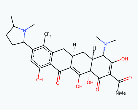 CNC(=O)C1=C(O)[C@@H](N(C)C)[C@@H]2C[C@@H]3Cc4c(c(O)cc(C5CCC(C)N5C)c4C(F)(F)F)C(=O)C3=C(O)[C@]2(O)C1=O